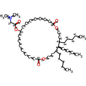 C=C=C=C=C1C(CCCCC)CCOC(=O)CCCCCCCC(OC(=O)CN(C)C)CCCCCCCC(=O)OCCC1CCCCC